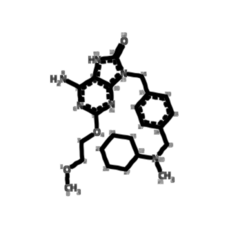 COCCOc1nc(N)c2[nH]c(=O)n(Cc3ccc(CN(C)C4CCCCC4)cc3)c2n1